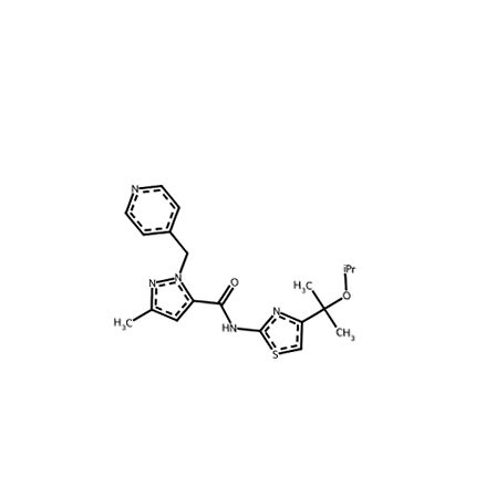 Cc1cc(C(=O)Nc2nc(C(C)(C)OC(C)C)cs2)n(Cc2ccncc2)n1